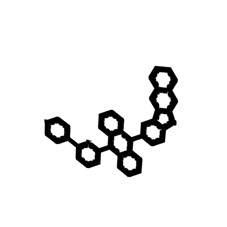 c1cc(-c2ccncc2)nc(-c2c3ccccc3c(-c3ccc4oc5cc6ccccc6cc5c4c3)c3ccccc23)c1